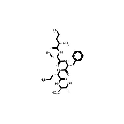 CC(C)C[C@H](NC(=O)[C@@H](N)CCN)C(=O)N[C@H](Cc1ccccc1)C(=O)N[C@@H](CCN)C(=O)N[C@H](C(=O)O)[C@@H](C)O